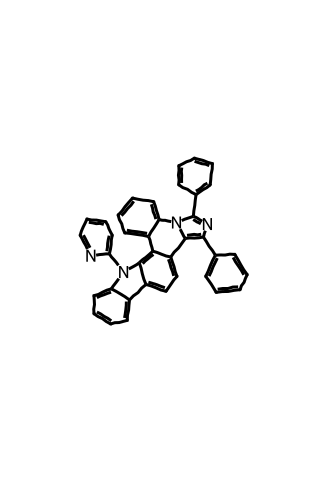 c1ccc(-c2nc(-c3ccccc3)n3c4ccccc4c4c(ccc5c6ccccc6n(-c6ccccn6)c54)c23)cc1